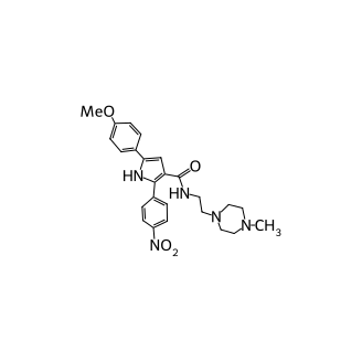 COc1ccc(-c2cc(C(=O)NCCN3CCN(C)CC3)c(-c3ccc([N+](=O)[O-])cc3)[nH]2)cc1